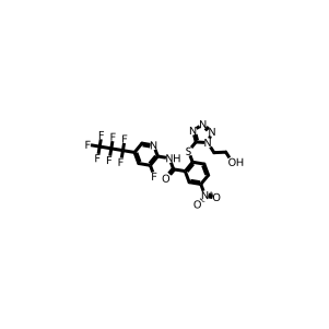 O=C(Nc1ncc(C(F)(F)C(F)(F)C(F)(F)F)cc1F)c1cc([N+](=O)[O-])ccc1Sc1nnnn1CCO